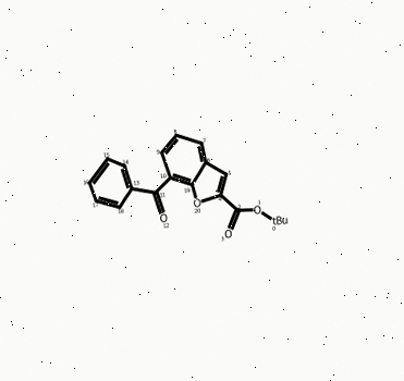 CC(C)(C)OC(=O)c1cc2cccc(C(=O)c3ccccc3)c2o1